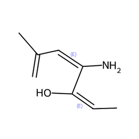 C=C(C)/C=C(N)\C(O)=C/C